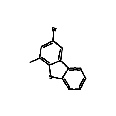 Cc1cc(Br)cc2c1sc1ccccc12